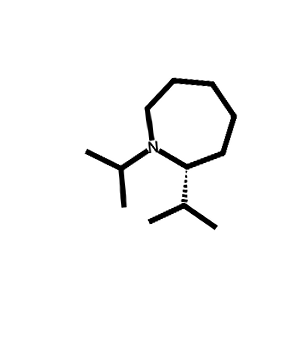 CC(C)[C@H]1CCCCCN1C(C)C